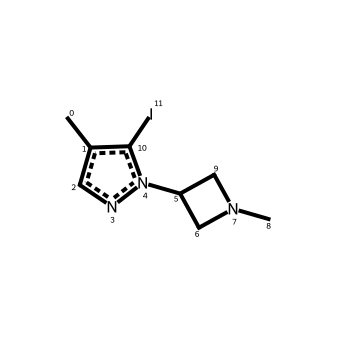 Cc1cnn(C2CN(C)C2)c1I